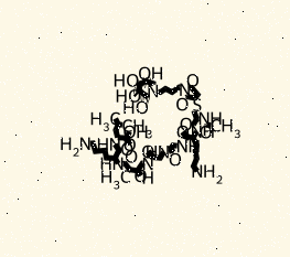 CC(=O)NC(CSC1CC(=O)N(CCCCN2C[C@H](O)[C@@H](O)[C@H](O)[C@H]2CO)C1=O)C(=O)NC(CCCCN)C(=O)NCC(=O)NCC(=O)NCC(=O)C(C)C(=O)NC(CCCCN)C(=O)NC(CC(C)C)C(=O)O